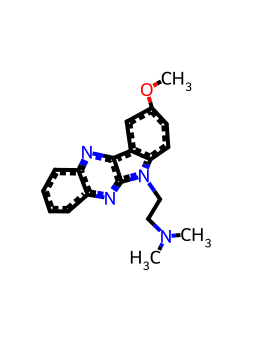 COc1ccc2c(c1)c1nc3ccccc3nc1n2CCN(C)C